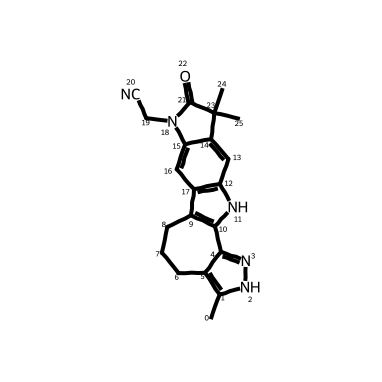 Cc1[nH]nc2c1CCCc1c-2[nH]c2cc3c(cc12)N(CC#N)C(=O)C3(C)C